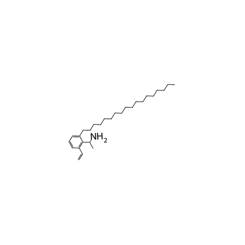 C=Cc1cccc(CCCCCCCCCCCCCCCCCC)c1C(C)N